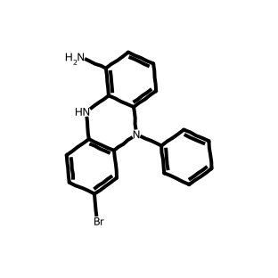 Nc1cccc2c1Nc1ccc(Br)cc1N2c1ccccc1